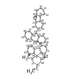 CC=C1CC(C)C2(c3ccccc3-c3c(-c4c5ccccc5c(-c5ccc6c(c5)oc5ccccc56)c5ccccc45)cccc32)C(CC)C1